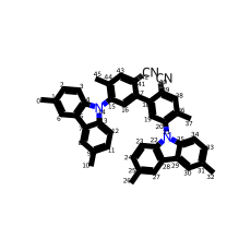 Cc1ccc2c(c1)c1cc(C)ccc1n2-c1cc(-c2cc(-n3c4ccc(C)cc4c4cc(C)ccc43)c(C)cc2C#N)c(C#N)cc1C